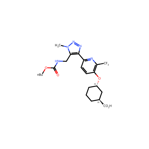 CCCCOC(=O)NCc1c(-c2ccc(O[C@H]3CCC[C@H](C(=O)O)C3)c(C(F)(F)F)n2)nnn1C